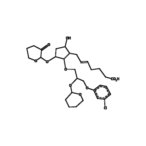 O=C(O)CCCC=CCC1C(O)CC(OC2OCCCC2=O)C1OCC(COc1cccc(Cl)c1)OC1CCCCO1